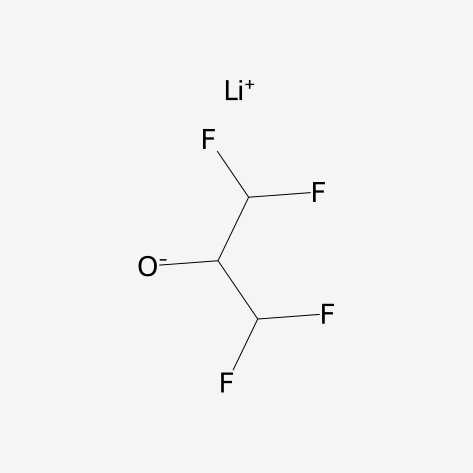 [Li+].[O-]C(C(F)F)C(F)F